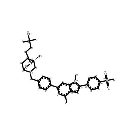 Cc1nc(-c2ccc(CN3C[C@@H]4CCC3CN4CCC(C)(C)O)cc2)cc2c1cc(-c1ccc(S(C)(=O)=O)cc1)n2C